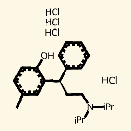 Cc1ccc(O)c([C@H](CCN(C(C)C)C(C)C)c2ccccc2)c1.Cl.Cl.Cl.Cl